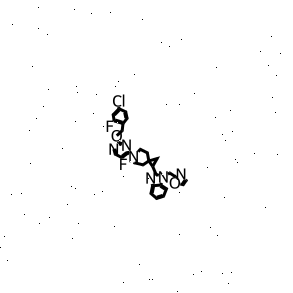 Fc1cc(Cl)ccc1COc1ncc(F)c(N2CCC3(CC2)CC3c2nc3ccccc3n2Cc2ncco2)n1